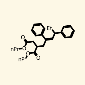 CCCOC(=O)CC(CC(=CC(CC)c1ccccc1)c1ccccc1)C(=O)OCCC